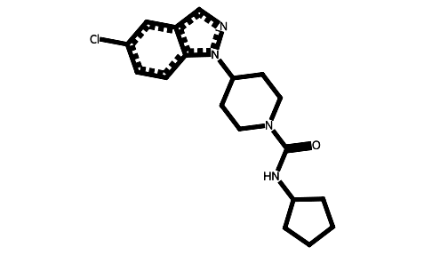 O=C(NC1CCCC1)N1CCC(n2ncc3cc(Cl)ccc32)CC1